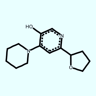 Oc1cnc(C2CCCO2)cc1N1CCCCC1